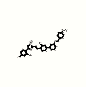 CCn1cc(-c2ccc(Cl)cc2Cl)nc1C=Cc1ccc(-c2cccc(OCc3ccc(C(=O)O)cc3)c2)cc1F